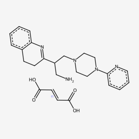 NCC(CN1CCN(c2ccccn2)CC1)C1=Nc2ccccc2CC1.O=C(O)/C=C/C(=O)O